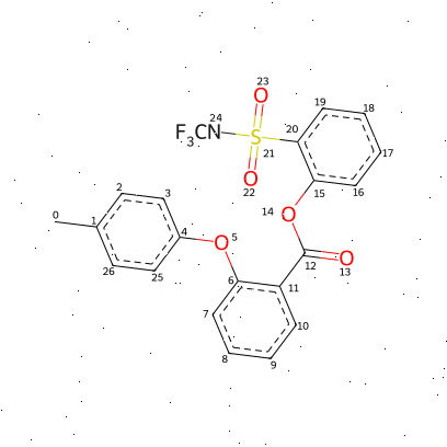 Cc1ccc(Oc2ccccc2C(=O)Oc2ccccc2S(=O)(=O)NC(F)(F)F)cc1